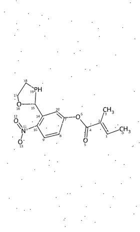 C/C=C(\C)C(=O)Oc1ccc([N+](=O)[O-])c(C2OCCP2)c1